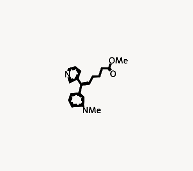 CNc1cccc(C(=CCCCC(=O)OC)c2cccnc2)c1